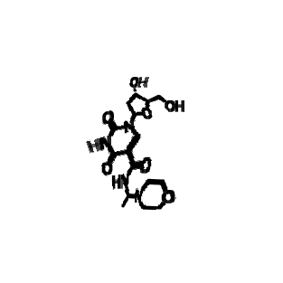 CC(NC(=O)c1cn([C@H]2C[C@H](O)[C@@H](CO)O2)c(=O)[nH]c1=O)N1CCOCC1